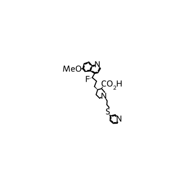 COc1ccc2nccc([C@@H](F)CC[C@@H]3CCN(CCCSc4cccnc4)C[C@@H]3C(=O)O)c2c1